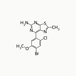 COc1cc(-c2nc(N)nc3sc(C)nc23)c(Cl)cc1Br